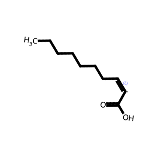 CCCCCCC/C=[C]\C(=O)O